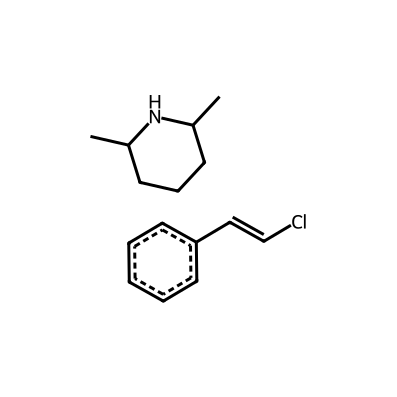 CC1CCCC(C)N1.ClC=Cc1ccccc1